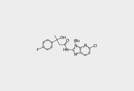 CC(O)(CC(=O)Nc1nc2ccc(Cl)nc2n1C(C)(C)C)c1ccc(F)cc1